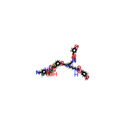 COc1ccc(COO/C=N\CCCN(CCCCNC(=O)OCc2ccc(OC)cc2)CCCOc2ccc3sc(S(=O)(=O)NCP(=O)(O)Oc4ccc(C#N)c(F)c4)cc3c2)cc1